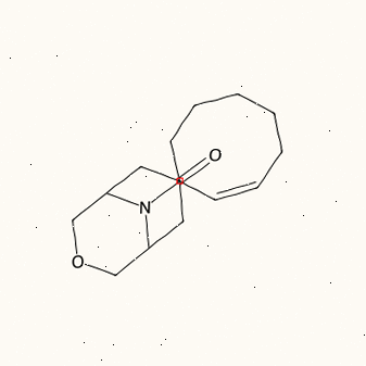 O=C1CC2COCC(C1)N2C1C=CCCCCC1